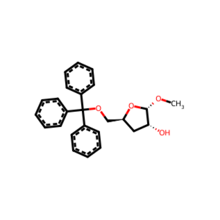 CO[C@H]1O[C@H](COC(c2ccccc2)(c2ccccc2)c2ccccc2)C[C@H]1O